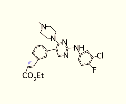 CCOC(=O)/C=C/c1cccc(-c2cnc(Nc3ccc(F)c(Cl)c3)nc2N2CCN(C)CC2)c1